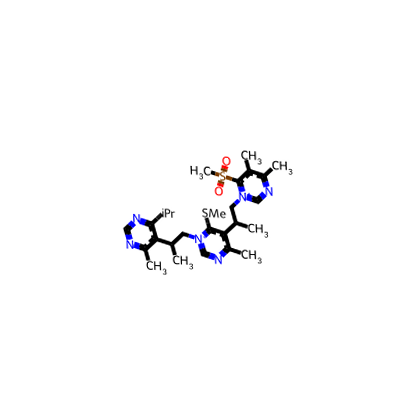 CSc1c(C(C)C[n+]2cnc(C)c(C)c2S(C)(=O)=O)c(C)nc[n+]1CC(C)c1c(C)ncnc1C(C)C